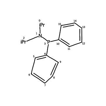 CC(C)N(C(C)C)P(c1ccccc1)c1ccccc1